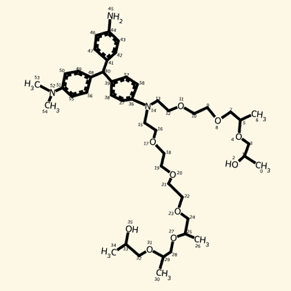 CC(O)COC(C)COCCOCCN(CCOCCOCCOCC(C)OCC(C)OCC(C)O)c1ccc(C(c2ccc(N)cc2)c2ccc(N(C)C)cc2)cc1